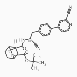 CC(C)(C)OC(=O)N1C2CCC(CC2)[C@H]1C(=O)N[C@H](C#N)Cc1ccc(-c2ccnc(C#N)c2)cc1